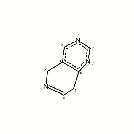 C1=NCc2cncnc2C1